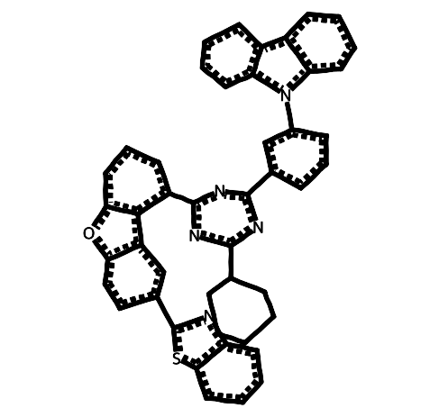 c1cc(-c2nc(-c3cccc4oc5ccc(-c6nc7ccccc7s6)cc5c34)nc(C3CCCCC3)n2)cc(-n2c3ccccc3c3ccccc32)c1